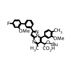 COc1cc(-c2c([C@H](OC(C)(C)C)C(=O)O)c(C)nc3cc(-c4cccc(-c5ccc(F)cc5OC)c4)nn23)ccc1C